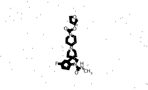 CNC(=O)N1CC2(CCN(C3CCN(C(=O)O[C@@H]4CCOC4)CC3)CC2)c2cc(F)ccc21